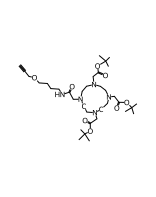 C#CCOCCCCNC(=O)CN1CCN(CC(=O)OC(C)(C)C)CCN(CC(=O)OC(C)(C)C)CCN(CC(=O)OC(C)(C)C)CC1